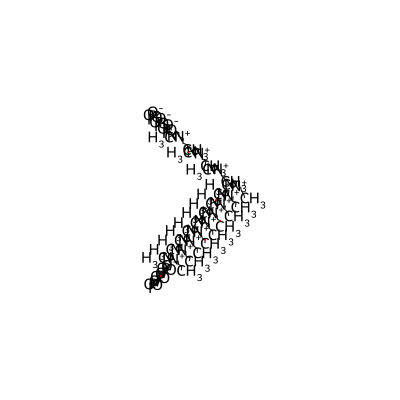 CCCC[n+]1ccn(C)c1.CCCC[n+]1ccn(C)c1.CCCC[n+]1ccn(C)c1.CCCC[n+]1ccn(C)c1.CCCC[n+]1ccn(C)c1.CCCC[n+]1ccn(C)c1.CCCC[n+]1ccn(C)c1.CCCC[n+]1ccn(C)c1.CCCC[n+]1ccn(C)c1.CCCC[n+]1ccn(C)c1.CCCC[n+]1ccn(C)c1.CCCC[n+]1ccn(C)c1.O=P([O-])([O-])F.O=P([O-])([O-])F.O=P([O-])([O-])F.O=P([O-])([O-])F.O=P([O-])([O-])F.O=P([O-])([O-])F